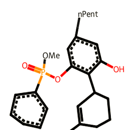 CCCCCc1cc(O)c(C2C=C(C)CCC2)c(OP(=O)(OC)c2ccccc2)c1